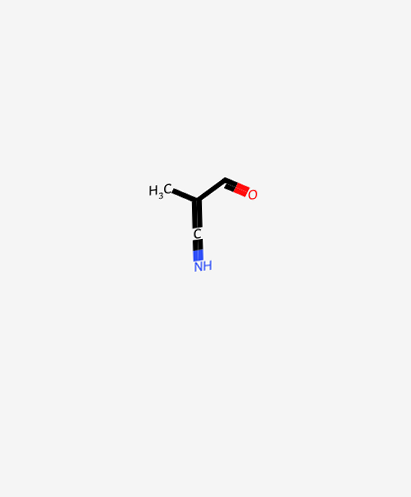 CC(=C=N)C=O